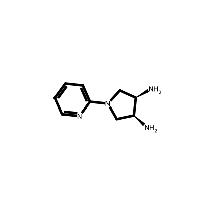 N[C@@H]1CN(c2ccccn2)C[C@@H]1N